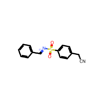 N#CCc1ccc(S(=O)(=O)/N=C/c2ccccc2)cc1